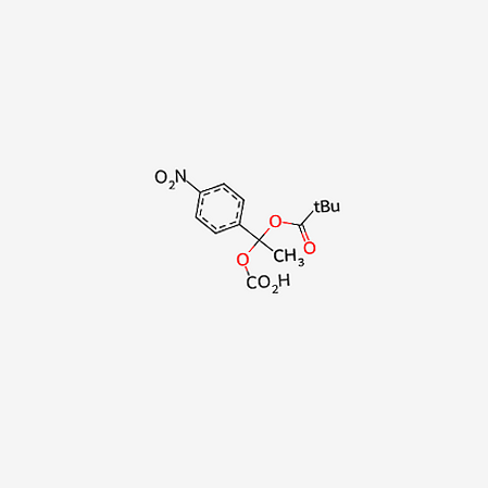 CC(C)(C)C(=O)OC(C)(OC(=O)O)c1ccc([N+](=O)[O-])cc1